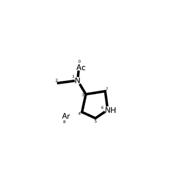 CC(=O)N(C)C1CCNC1.[Ar]